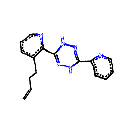 C=CCCc1cccnc1C1=NNC(c2ccccn2)=NN1